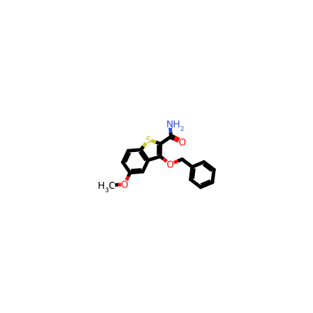 COc1ccc2sc(C(N)=O)c(OCc3ccccc3)c2c1